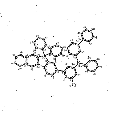 Clc1cc(-c2ccc3c(c2)C(c2ccccc2)(c2ccccc2)c2cc4ccccc4cc2-3)cc(N(c2ccccc2)c2cccc(-c3ccccc3)c2)c1